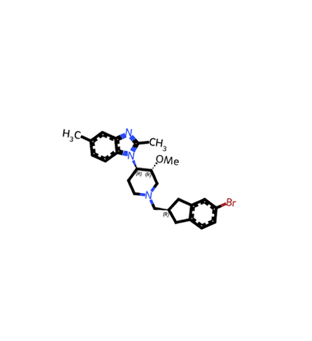 CO[C@@H]1CN(C[C@@H]2Cc3ccc(Br)cc3C2)CC[C@H]1n1c(C)nc2cc(C)ccc21